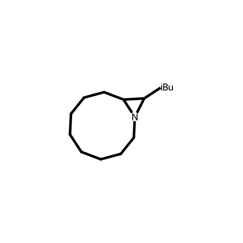 CCC(C)C1C2CCCCCCCCN21